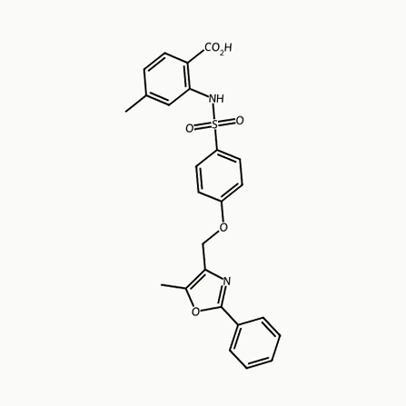 Cc1ccc(C(=O)O)c(NS(=O)(=O)c2ccc(OCc3nc(-c4ccccc4)oc3C)cc2)c1